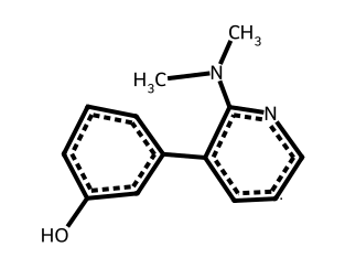 CN(C)c1nc[c]cc1-c1cccc(O)c1